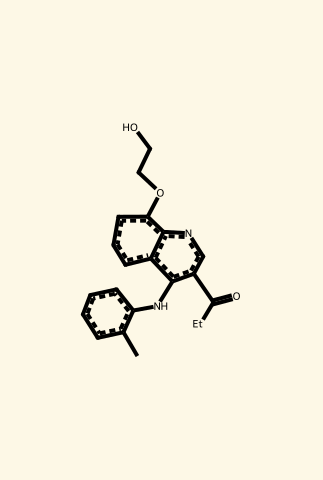 CCC(=O)c1cnc2c(OCCO)cccc2c1Nc1ccccc1C